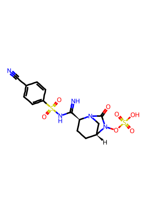 N#Cc1ccc(S(=O)(=O)NC(=N)[C@@H]2CC[C@@H]3CN2C(=O)N3OS(=O)(=O)O)cc1